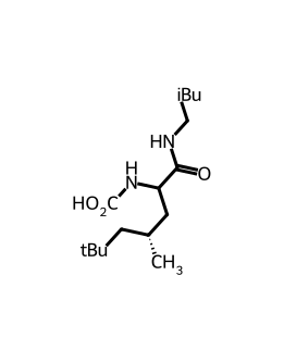 CCC(C)CNC(=O)C(C[C@H](C)CC(C)(C)C)NC(=O)O